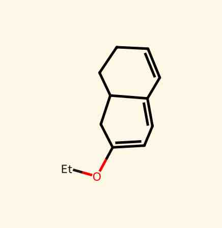 CCOC1=CC=C2C=CCCC2C1